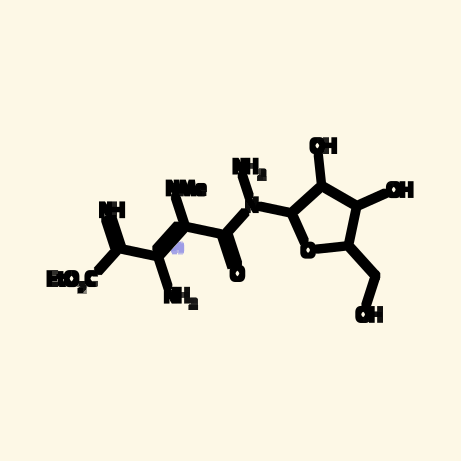 CCOC(=O)C(=N)/C(N)=C(\NC)C(=O)N(N)C1OC(CO)C(O)C1O